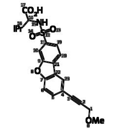 COCC#Cc1ccc2oc3cc(S(=O)(=O)NC(C(=O)O)C(C)C)ccc3c2c1